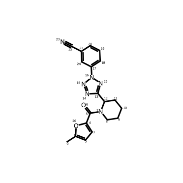 Cc1ccc(C(=O)N2CCCCC2c2nnn(-c3cccc(C#N)c3)n2)o1